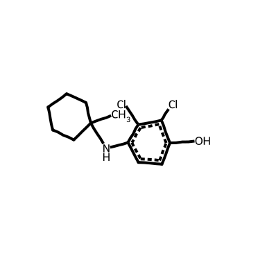 CC1(Nc2ccc(O)c(Cl)c2Cl)CCCCC1